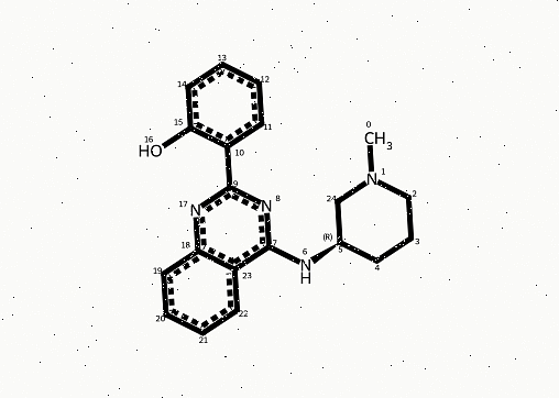 CN1CCC[C@@H](Nc2nc(-c3ccccc3O)nc3ccccc23)C1